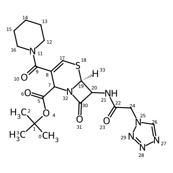 CC(C)(C)OC(=O)C1C(C(=O)N2CCCCC2)=CS[C@H]2C(NC(=O)Cn3cnnn3)C(=O)N12